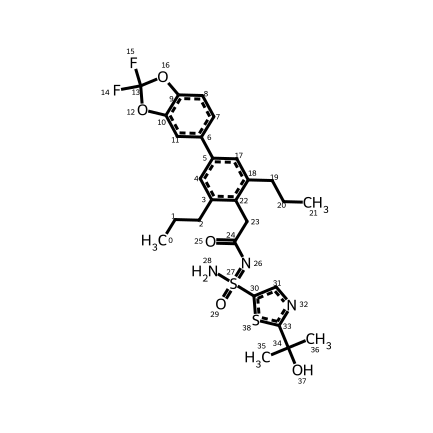 CCCc1cc(-c2ccc3c(c2)OC(F)(F)O3)cc(CCC)c1CC(=O)N=S(N)(=O)c1cnc(C(C)(C)O)s1